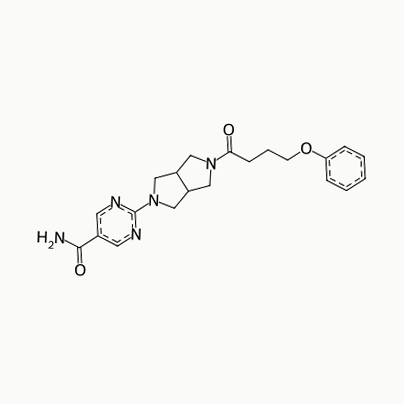 NC(=O)c1cnc(N2CC3CN(C(=O)CCCOc4ccccc4)CC3C2)nc1